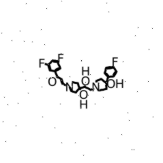 O=C(C=CN1CCC(O)(C(O)CN2CCC(O)(c3ccc(F)cc3)CC2)CC1)c1cc(F)cc(F)c1